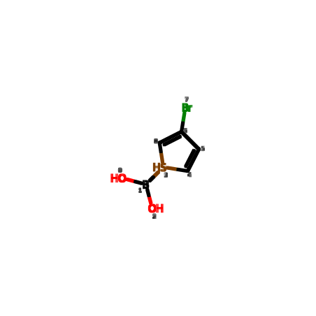 OB(O)[SH]1C=CC(Br)=C1